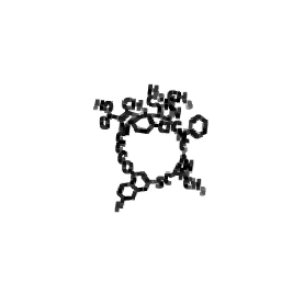 Cc1c(C(=O)O)n2c3ccc(Cl)c(c13)-c1c(nn(C)c1C)CN(c1ccccc1)Cc1cc(n(C)n1)CSc1cc(c3ccc(F)cc3c1)OCCC2